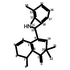 C=C1C2=C(C=CCC2C)C(C2Nc3c(C)cccc32)=CC1(C)C